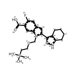 C[Si](C)(C)CCOCn1c(-c2n[nH]c3c2CCCC3)cc2cc(F)c(C(=O)O)cc21